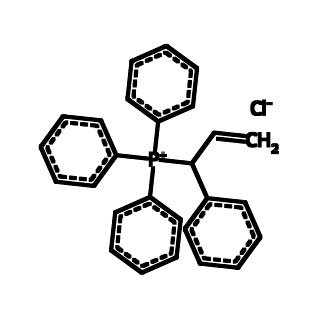 C=CC(c1ccccc1)[P+](c1ccccc1)(c1ccccc1)c1ccccc1.[Cl-]